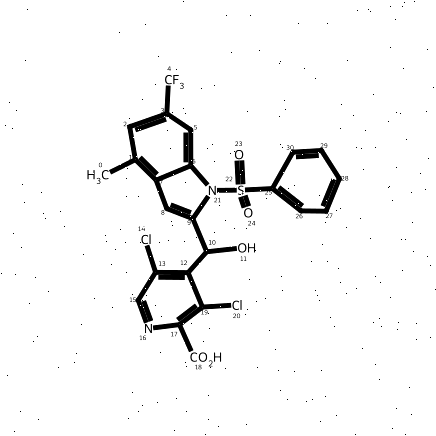 Cc1cc(C(F)(F)F)cc2c1cc(C(O)c1c(Cl)cnc(C(=O)O)c1Cl)n2S(=O)(=O)c1ccccc1